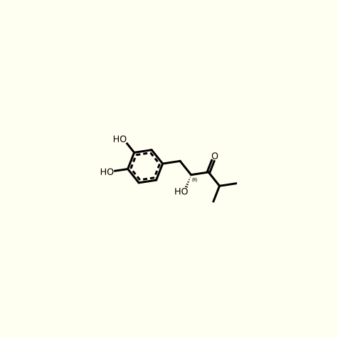 CC(C)C(=O)[C@H](O)Cc1ccc(O)c(O)c1